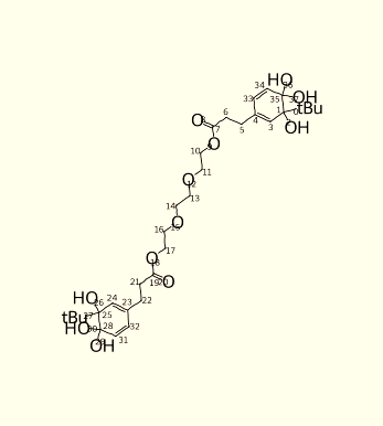 CC(C)(C)C1(O)C=C(CCC(=O)OCCOCCOCCOC(=O)CCC2=CC(O)(C(C)(C)C)C(O)(O)C=C2)C=CC1(O)O